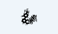 Cc1cc(C(F)(F)F)ccc1-c1cccc2c1CN(S(=O)(=O)Nc1ncns1)CC2